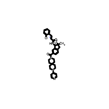 CC1(C)Cc2ccc(C(=O)N3CCC4(CC3)CCN(c3ccncc3)CC4)cc2C1NC(=O)/C=C/c1ccccc1Cl